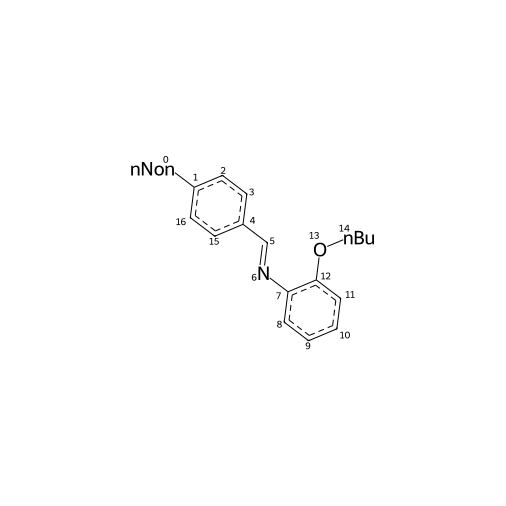 CCCCCCCCCc1ccc(C=Nc2ccccc2OCCCC)cc1